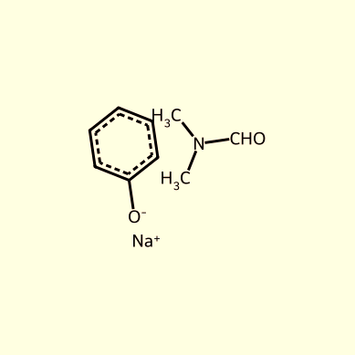 CN(C)C=O.[Na+].[O-]c1ccccc1